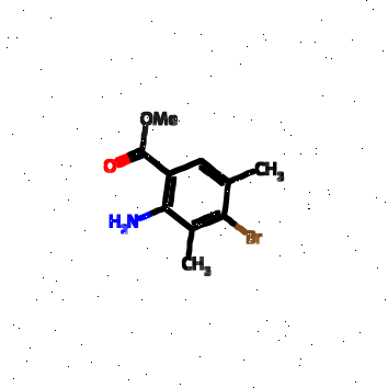 COC(=O)c1cc(C)c(Br)c(C)c1N